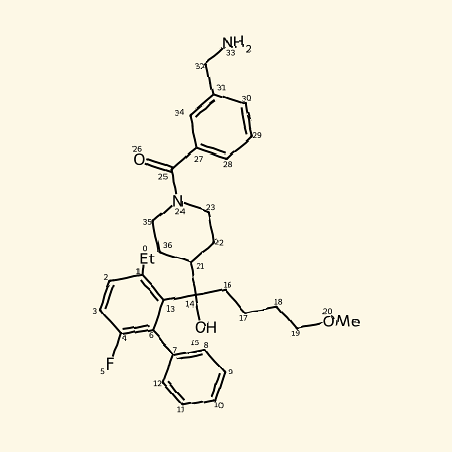 CCc1ccc(F)c(-c2ccccc2)c1C(O)(CCCCOC)C1CCN(C(=O)c2cccc(CN)c2)CC1